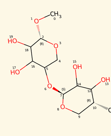 CO[C@@H]1OCC(O[C@@H]2OC[C@@H](C)C(O)C2O)C(O)C1O